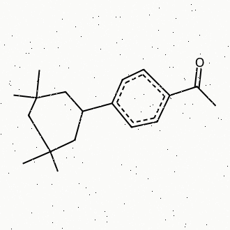 CC(=O)c1ccc(C2CC(C)(C)CC(C)(C)C2)cc1